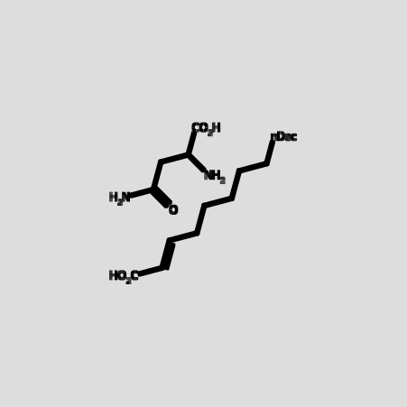 CCCCCCCCCCCCCCCC=CC(=O)O.NC(=O)CC(N)C(=O)O